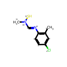 Cc1cc(Cl)ccc1N=CN(C)S